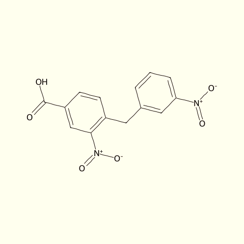 O=C(O)c1ccc(Cc2cccc([N+](=O)[O-])c2)c([N+](=O)[O-])c1